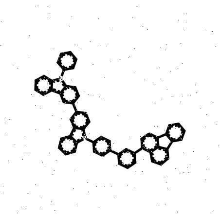 c1ccc(-n2c3ccccc3c3cc(-c4ccc5c(c4)c4ccccc4n5-c4ccc(-c5cccc(-c6ccc7c8c(cccc68)-c6ccccc6-7)c5)cc4)ccc32)cc1